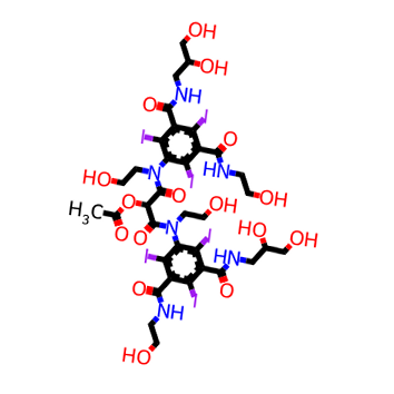 CC(=O)OC(C(=O)N(CCO)c1c(I)c(C(=O)NCCO)c(I)c(C(=O)NCC(O)CO)c1I)C(=O)N(CCO)c1c(I)c(C(=O)NCCO)c(I)c(C(=O)NCC(O)CO)c1I